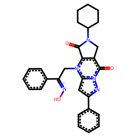 O=C1c2c(c(=O)n3nc(-c4ccccc4)cc3n2C/C(=N/O)c2ccccc2)CN1C1CCCCC1